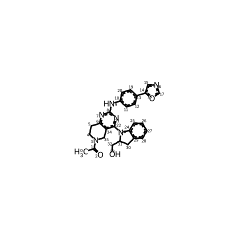 CC(=O)N1CCc2nc(Nc3ccc(-c4cnco4)cc3)nc(N3c4ccccc4CC3CO)c2C1